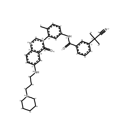 Cc1ccc(NC(=O)c2cccc(C(C)(C)C#N)c2)cc1-n1cnc2ccc(NCCCN3CCCCC3)cc2c1=O